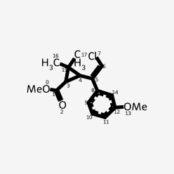 COC(=O)C1C(C(=CCl)c2cccc(OC)c2)C1(C)C